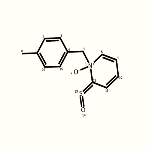 Cc1ccc(C[N+]2([O-])C=CC=CC2=S=O)cc1